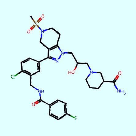 CS(=O)(=O)N1CCc2c(c(-c3ccc(Cl)c(CNC(=O)c4ccc(F)cc4)c3)nn2CC(O)CN2CCCC(C(N)=O)C2)C1